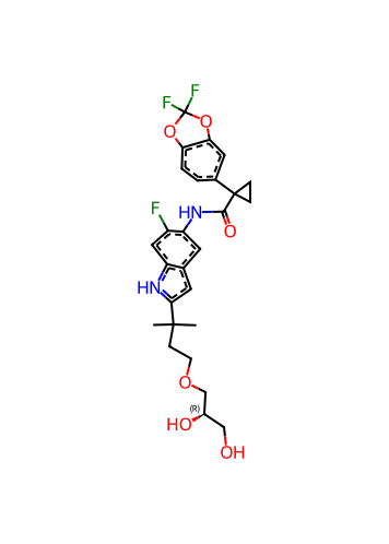 CC(C)(CCOC[C@H](O)CO)c1cc2cc(NC(=O)C3(c4ccc5c(c4)OC(F)(F)O5)CC3)c(F)cc2[nH]1